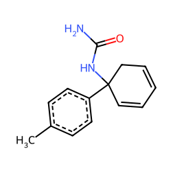 Cc1ccc(C2(NC(N)=O)C=CC=CC2)cc1